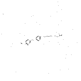 CC1(CCOCCCCOc2ccc(OCc3ccc(OC(F)(F)F)c(F)c3)cc2)CO1